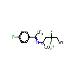 CC(C)CC(F)(F)C[C@H](/N=C(/c1ccc(F)cc1)C(F)(F)F)C(=O)O